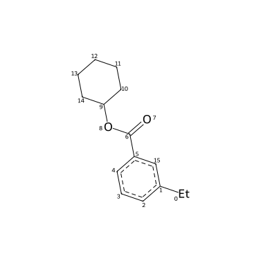 CCc1cccc(C(=O)OC2CCCCC2)c1